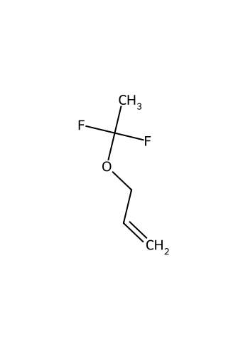 C=CCOC(C)(F)F